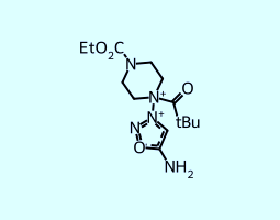 CCOC(=O)N1CC[N+](C(=O)C(C)(C)C)([n+]2cc(N)on2)CC1